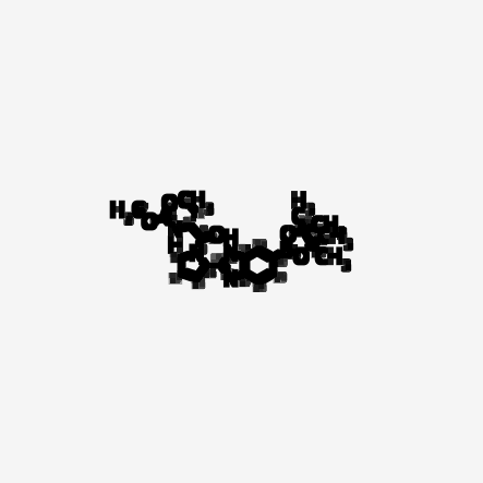 CC[C@@H](NC(=O)OC)C(=O)N1CC=C[C@H]1c1nc2ccc(B3OC(C)(C)C(C)(C)O3)cc2[nH]1